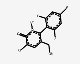 CCn1c(-c2c(F)cc(F)cc2F)c(CO)cc(Cl)c1=O